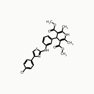 COC(=O)C1=C(C)NC(C)=C(C(=O)OC)C1c1cccc(Nc2nc(-c3ccc(Cl)cc3)cs2)c1